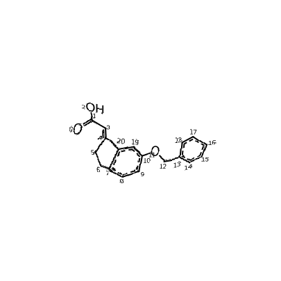 O=C(O)/C=C1\CCc2ccc(OCc3ccccc3)cc21